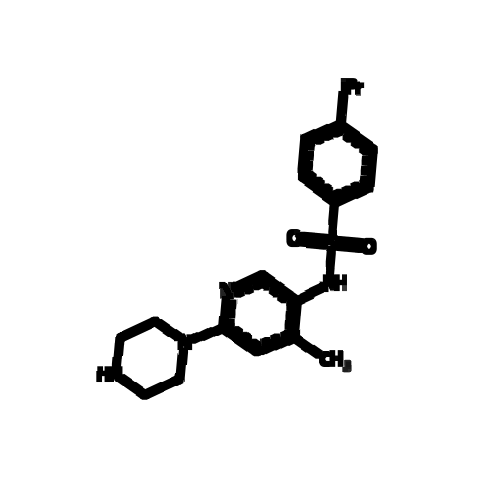 Cc1cc(N2CCNCC2)ncc1NS(=O)(=O)c1ccc(C(C)C)cc1